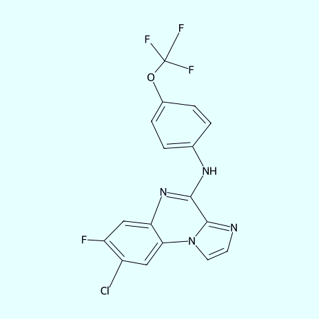 Fc1cc2nc(Nc3ccc(OC(F)(F)F)cc3)c3nccn3c2cc1Cl